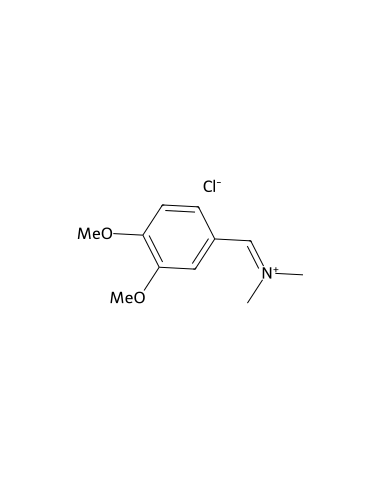 COc1ccc(C=[N+](C)C)cc1OC.[Cl-]